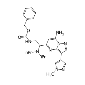 CCCN(C(C)C)C(CNC(=O)OCc1ccccc1)c1cc(N)n2ncc(-c3cnn(C)c3)c2n1